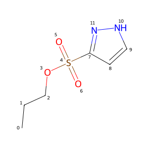 CCCOS(=O)(=O)c1cc[nH]n1